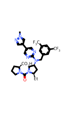 CC[C@@H]1C[C@H](N(Cc2cc(C(F)(F)F)cc(C(F)(F)F)c2)c2ncc(-c3cnn(C)c3)cn2)CN1C(=O)N1CCC[C@H]1C(=O)O